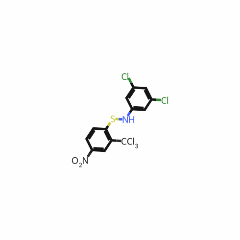 O=[N+]([O-])c1ccc(SNc2cc(Cl)cc(Cl)c2)c(C(Cl)(Cl)Cl)c1